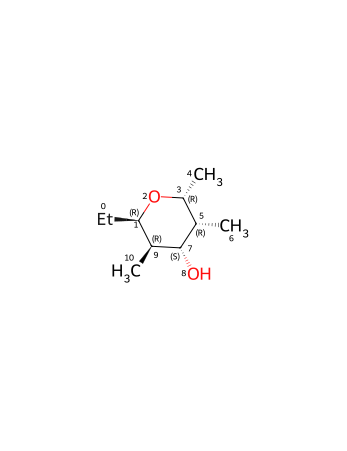 CC[C@H]1O[C@H](C)[C@H](C)[C@H](O)[C@H]1C